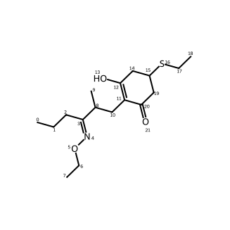 CCCC(=NOCC)C(C)CC1=C(O)CC(SCC)CC1=O